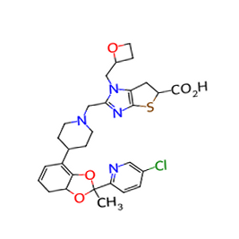 CC1(c2ccc(Cl)cn2)OC2=C(C3CCN(Cc4nc5c(n4CC4CCO4)CC(C(=O)O)S5)CC3)C=CCC2O1